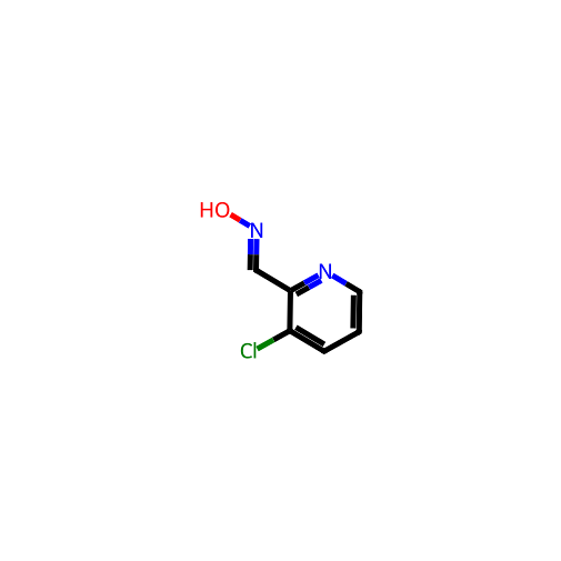 O/N=C/c1ncccc1Cl